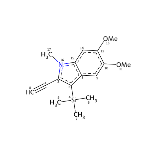 C#Cc1c([Si](C)(C)C)c2cc(OC)c(OC)cc2n1C